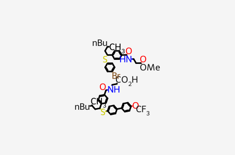 CCCCC(C)CC(Sc1ccc(-c2ccc(OC(F)(F)F)cc2)cc1)c1ccc(C(=O)NCCC(=O)O)cc1.CCCCC(C)CC(Sc1ccc(Br)cc1)c1ccc(C(=O)NCCC(=O)OC)cc1